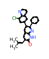 CC(C)=Cc1cc2cc(-c3cc(Cl)c4ncccc4c3)c(-c3ccccc3)nc2[nH]c1=O